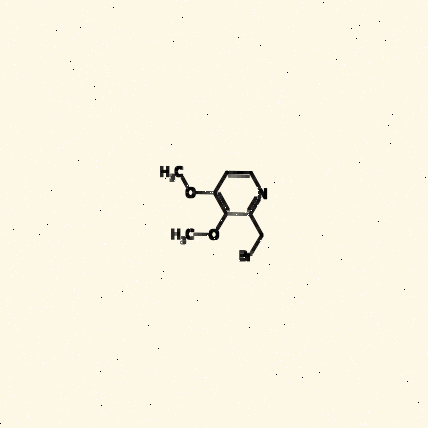 COc1ccnc(CBr)c1OC